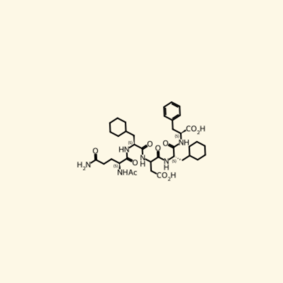 CC(=O)N[C@@H](CCC(N)=O)C(=O)N[C@@H](CC1CCCCC1)C(=O)NC(CC(=O)O)C(=O)N[C@@H](CC1CCCCC1)C(=O)N[C@@H](Cc1ccccc1)C(=O)O